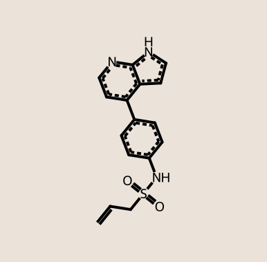 C=CCS(=O)(=O)Nc1ccc(-c2ccnc3[nH]ccc23)cc1